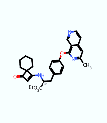 CCOC(=O)[C@H](Cc1ccc(Oc2nc(C)cc3ccncc23)cc1)NC1=CC(=O)C12CCCCC2